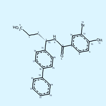 O=C(O)CC[C@H](NC(=O)c1ccc(O)c(Br)c1)c1ccc(-c2ccccc2)cc1